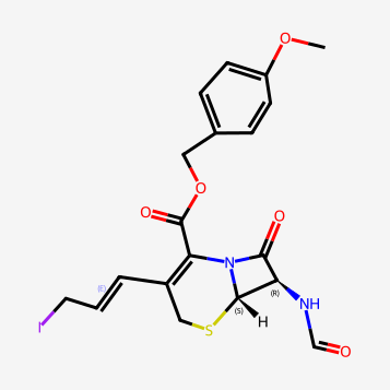 COc1ccc(COC(=O)C2=C(/C=C/CI)CS[C@H]3[C@H](NC=O)C(=O)N23)cc1